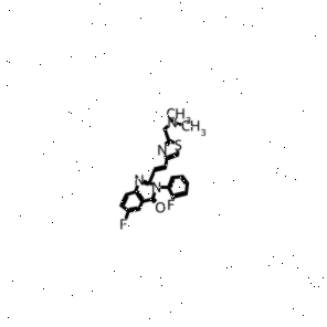 CN(C)Cc1nc(C=Cc2nc3ccc(F)cc3c(=O)n2-c2ccccc2F)cs1